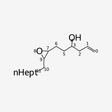 C=CCC(O)CCC1OC1CCCCCCCC